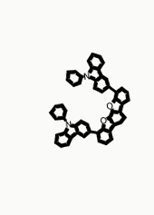 c1ccc(-n2c3ccccc3c3cc(-c4cccc5c4oc4c5ccc5c6cccc(-c7ccc8c(c7)c7ccccc7n8-c7ccccc7)c6oc54)ccc32)cc1